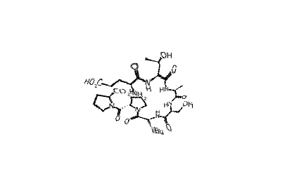 CC[C@H](C)[C@H](NC(=O)[C@H](CO)NC(=O)[C@H](C)NC(=O)[C@@H](NC(=O)[C@@H](N)CCC(=O)O)[C@@H](C)O)C(=O)N1CCC[C@H]1C(=O)N1CCC[C@H]1C(=O)O